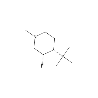 CN1CC[C@H](C(C)(C)C)[C@H](F)C1